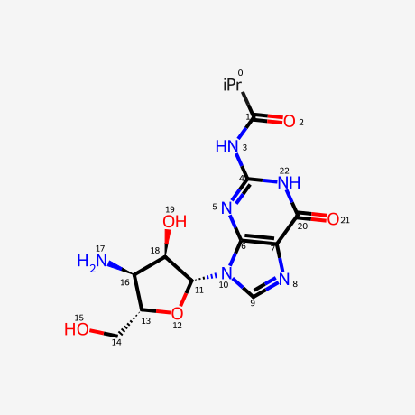 CC(C)C(=O)Nc1nc2c(ncn2[C@@H]2O[C@H](CO)[C@@H](N)[C@H]2O)c(=O)[nH]1